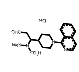 CNN(C(=O)O)C(CC=O)C1CCN(c2nccc3ccccc23)CC1.Cl